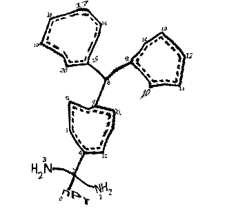 CCCC(N)(N)c1ccc([C](c2ccccc2)c2ccccc2)cc1